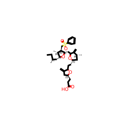 C=C1C[C@H](CCC(=O)O)OC1CC[C@H]1C[C@@H](C)C(=C)C(C[C@@H]2O[C@H](C[C@H](C)CC)[C@H](C)[C@H]2CS(=O)(=O)c2ccccc2)O1